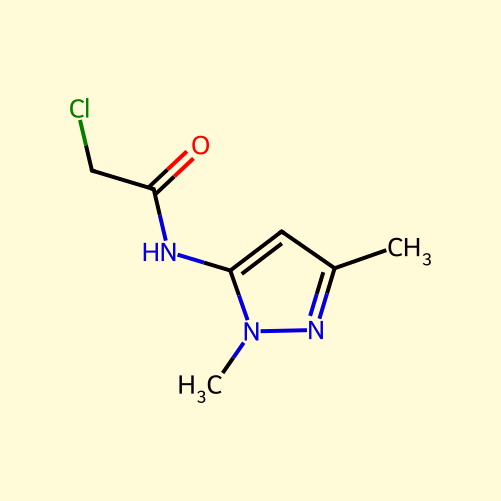 Cc1cc(NC(=O)CCl)n(C)n1